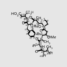 CC[C@H](C)[C@@H]([C@@H](CC(=O)N1CCC[C@H]1[C@H](OC)[C@@H](C)C(=O)N[C@@H](Cc1ccccc1)C(=O)NC(CC(=O)O)C(=O)O)OC)N(C)C(=O)[C@@H](NC(=O)[C@H](C(C)C)N(C)C(C)C)C(C)C